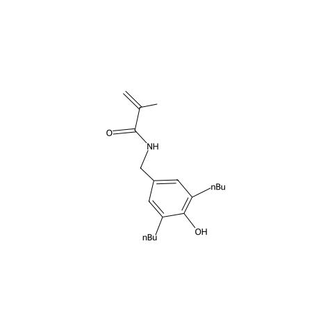 C=C(C)C(=O)NCc1cc(CCCC)c(O)c(CCCC)c1